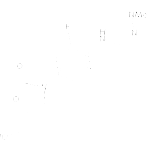 CN/N=C\Nc1ccc(N2C[C@H](CO)OC2=O)cc1F